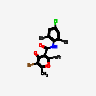 CCCc1oc(C)c(Br)c(=O)c1C(=O)Nc1c(CC)cc(Cl)cc1CC